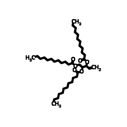 C=CC(OC(=O)CCCCCCCCCCC)C(COC(=O)CCCCCCCCCCC)OC(=O)CCCCCCCCCCC